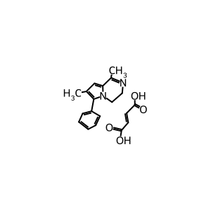 CC1=NCCn2c1cc(C)c2-c1ccccc1.O=C(O)C=CC(=O)O